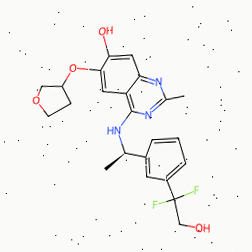 Cc1nc(N[C@H](C)c2cccc(C(F)(F)CO)c2)c2cc(OC3CCOC3)c(O)cc2n1